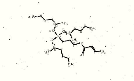 CC=CC(=O)OCCC[Si](O[SiH](C)CCCOC(C)=O)(O[SiH](C)CCCOC(C)=O)O[SiH](C)CCCOC(C)=O